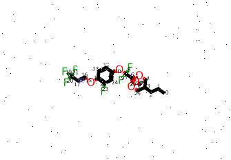 CCCC12COC(C(F)(F)Oc3ccc(O/C=C/C(F)(F)F)c(F)c3)(OC1)OC2